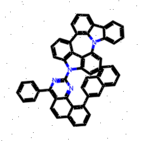 c1ccc(-c2nc(-n3c4cccc5c6cccc7c8ccccc8n(c8cccc3c8c54)c67)nc3c2ccc2cccc(-c4ccc5ccccc5c4)c23)cc1